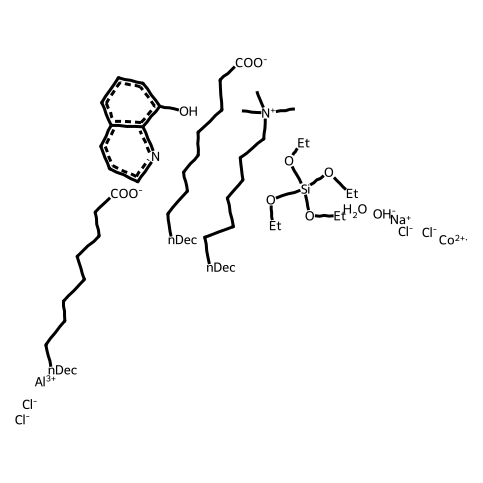 CCCCCCCCCCCCCCCCCC(=O)[O-].CCCCCCCCCCCCCCCCCC(=O)[O-].CCCCCCCCCCCCCCCC[N+](C)(C)C.CCO[Si](OCC)(OCC)OCC.O.Oc1cccc2cccnc12.[Al+3].[Cl-].[Cl-].[Cl-].[Cl-].[Co+2].[Na+].[OH-]